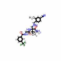 Cc1cc(C#N)ccc1CNCC(NC(=O)CNC(=O)c1cccc(C(F)(F)F)c1)(C(N)=O)C(C)(C)C